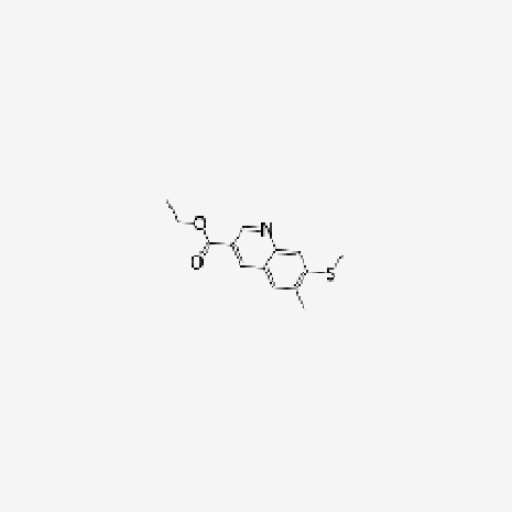 CCOC(=O)c1cnc2cc(SC)c(C)cc2c1